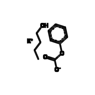 CCCCO.O=C([O-])Oc1ccccc1.[K+]